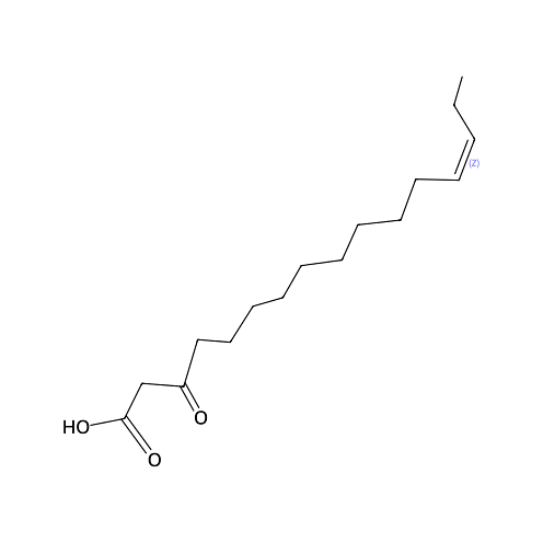 CC/C=C\CCCCCCCCCC(=O)CC(=O)O